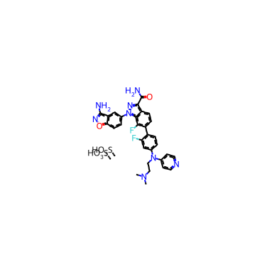 CN(C)CCN(c1ccncc1)c1ccc(-c2ccc3c(C(N)=O)nn(-c4ccc5onc(N)c5c4)c3c2F)c(F)c1.CS(=O)(=O)O.CS(=O)(=O)O